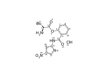 CC[C@H](C)[C@H](N)C(=O)Oc1ccccc1C(=O)Nc1ncc([N+](=O)[O-])s1.Cl